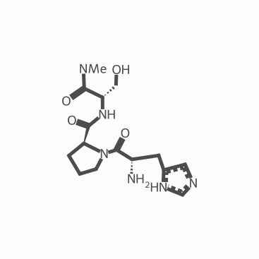 CNC(=O)[C@H](CO)NC(=O)[C@@H]1CCCN1C(=O)[C@@H](N)Cc1cnc[nH]1